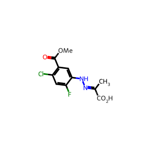 COC(=O)c1cc(NN=C(C)C(=O)O)c(F)cc1Cl